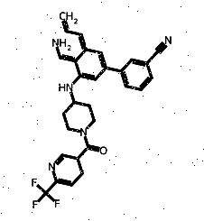 C=C/C=c1/cc(-c2cccc(C#N)c2)cc(NC2CCN(C(=O)C3C=NC(C(F)(F)F)=CC3)CC2)/c1=C/N